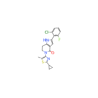 Cc1sc(C2CC2)nc1N1CCc2[nH]c(-c3c(F)cccc3Cl)cc2C1=O